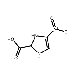 O=C(O)C1NC=C([N+](=O)[O-])N1